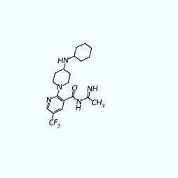 CC(=N)NC(=O)c1cc(C(F)(F)F)cnc1N1CCC(NC2CCCCC2)CC1